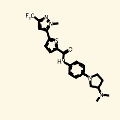 CN(C)C1CCN(c2ccc(NC(=O)c3ccc(-c4cc(C(F)(F)F)nn4C)s3)cc2)C1